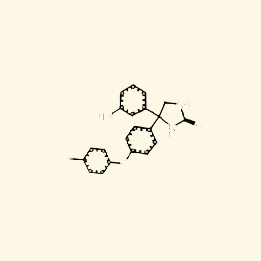 O=C1NCC(c2ccc(Oc3ccc(Cl)cc3)cc2)(c2cccc(O)c2)N1